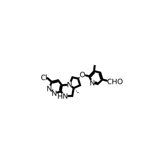 Cc1cc(C=O)cnc1O[C@H]1CN2c3cc(Cl)nnc3NC[C@]2(C)C1